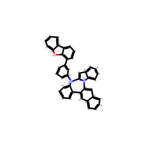 c1cc(-c2cccc3c2oc2ccccc23)cc(N2c3ccccc3-c3cc4ccccc4cc3-n3c2cc2ccccc23)c1